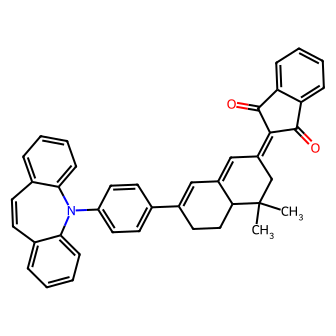 CC1(C)CC(=C2C(=O)c3ccccc3C2=O)C=C2C=C(c3ccc(N4c5ccccc5C=Cc5ccccc54)cc3)CCC21